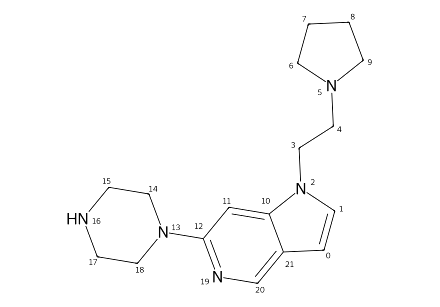 c1cn(CCN2CCCC2)c2cc(N3CCNCC3)ncc12